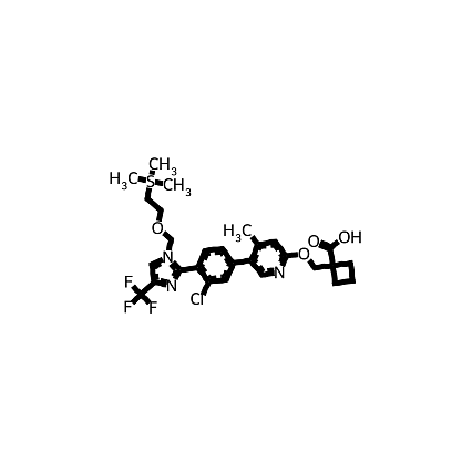 Cc1cc(OCC2(C(=O)O)CCC2)ncc1-c1ccc(-c2nc(C(F)(F)F)cn2COCCS(C)(C)C)c(Cl)c1